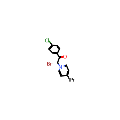 CC(C)c1cc[n+](CC(=O)c2ccc(Cl)cc2)cc1.[Br-]